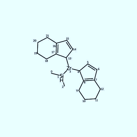 C[SiH](C)[Zr]([CH]1C=CC2=C1CCCC2)[CH]1C=CC2=C1CCCC2